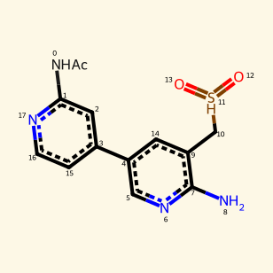 CC(=O)Nc1cc(-c2cnc(N)c(C[SH](=O)=O)c2)ccn1